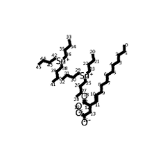 CCCCCCCCCCC=CC(CC(=O)[O-])C(=O)[O-].CCC[CH2][Sn+]([CH2]CCC)[CH2]CCC.CCC[CH2][Sn+]([CH2]CCC)[CH2]CCC